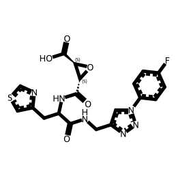 O=C(NCc1cn(-c2ccc(F)cc2)nn1)C(Cc1cscn1)NC(=O)[C@H]1O[C@@H]1C(=O)O